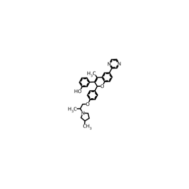 CC1=C(c2cccc(O)c2)C(c2ccc(OCC(C)N3CCC(C)C3)cc2)Oc2ccc(-c3cnccn3)cc21